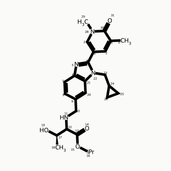 Cc1cc(-c2nc3ccc(CNC(C(=O)OC(C)C)[C@@H](C)O)cc3n2CC2CC2)cn(C)c1=O